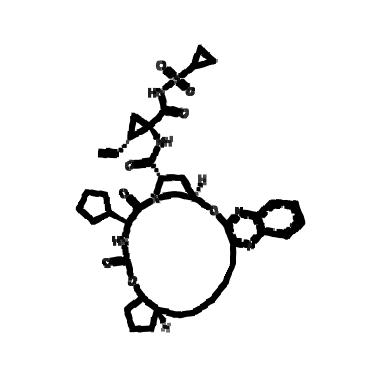 C=C[C@@H]1C[C@]1(NC(=O)[C@@H]1C[C@@H]2CN1C(=O)[C@H](C1CCCC1)NC(=O)OC1CCC[C@H]1CCCCCc1nc3ccccc3nc1O2)C(=O)NS(=O)(=O)C1CC1